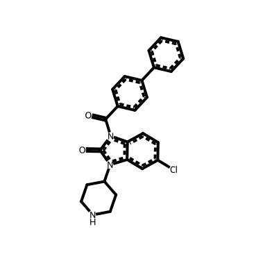 O=C(c1ccc(-c2ccccc2)cc1)n1c(=O)n(C2CCNCC2)c2cc(Cl)ccc21